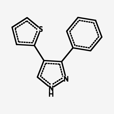 c1ccc(-c2n[nH]cc2-c2cccs2)cc1